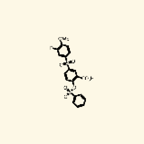 COc1ccc(S(=O)(=O)c2ccc(OS(=O)(=O)c3ccccc3)c(C(=O)O)c2)cc1F